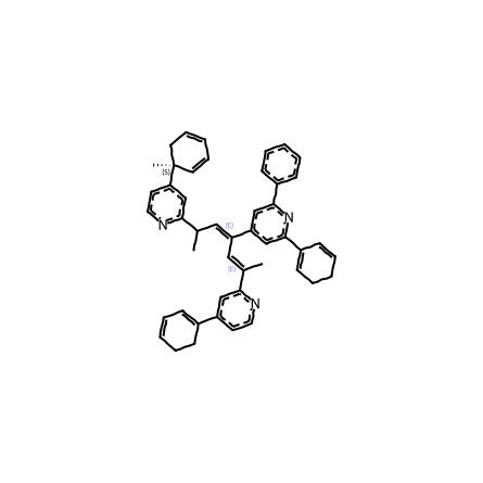 C/C(=C\C(=C/C(C)c1cc([C@]2(C)C=CC=CC2)ccn1)c1cc(C2=CCCC=C2)nc(-c2ccccc2)c1)c1cc(C2=CC=CCC2)ccn1